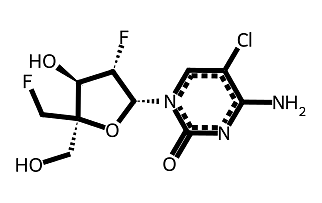 Nc1nc(=O)n([C@@H]2O[C@@](CO)(CF)[C@@H](O)[C@@H]2F)cc1Cl